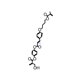 C=C(C)C(=O)OCCCCOc1ccc(/C=C/C(=O)Oc2ccc(OC(=O)C(=C)CO)cc2)cc1